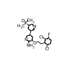 CP(C)(=O)c1cncc(-c2cnc(N)c(OCCc3c(Cl)ccc(F)c3Cl)c2)c1